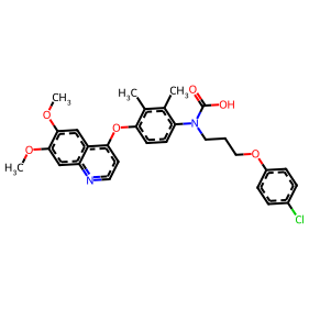 COc1cc2nccc(Oc3ccc(N(CCCOc4ccc(Cl)cc4)C(=O)O)c(C)c3C)c2cc1OC